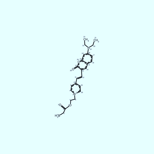 BCC(=O)OCC[n+]1ccc(/C=C/c2cc3ccc(N(CC)CC)cc3oc2=O)cc1